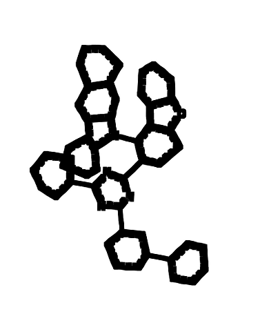 c1ccc(-c2cccc(-c3nc(-c4ccccc4)nc(-c4ccc5oc6ccccc6c5c4-n4c5ccccc5c5cc6ccccc6cc54)n3)c2)cc1